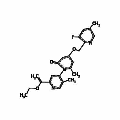 C=C(OCC)c1cc(-n2c(C)cc(OCc3ncc(C)cc3F)cc2=O)c(C)cn1